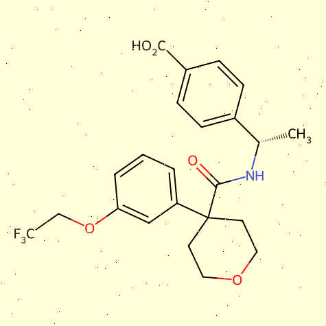 C[C@H](NC(=O)C1(c2cccc(OCC(F)(F)F)c2)CCOCC1)c1ccc(C(=O)O)cc1